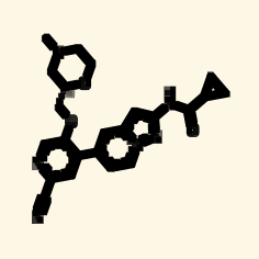 CN1CCO[C@H](COc2cnc(C#N)cc2-c2ccn3nc(NC(=O)C4CC4)cc3c2)C1